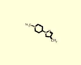 CC1C=NN(C2CCN(C)CC2)C1